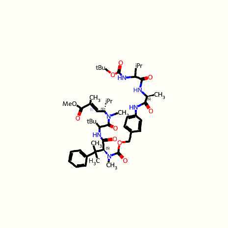 COC(=O)/C(C)=C/[C@H](C(C)C)N(C)C(=O)C(NC(=O)[C@@H](N(C)C(=O)OCc1ccc(NC(=O)[C@H](C)NC(=O)C(NC(=O)OC(C)(C)C)C(C)C)cc1)C(C)(C)c1ccccc1)C(C)(C)C